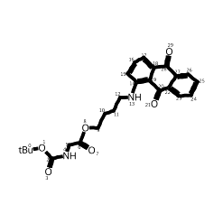 CC(C)(C)OC(=O)NCC(=O)OCCCCNc1cccc2c1C(=O)c1ccccc1C2=O